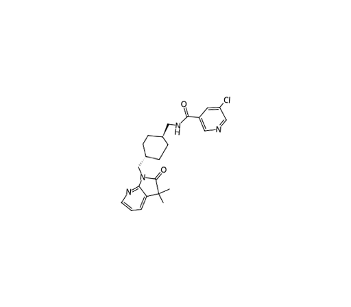 CC1(C)C(=O)N(C[C@H]2CC[C@H](CNC(=O)c3cncc(Cl)c3)CC2)c2ncccc21